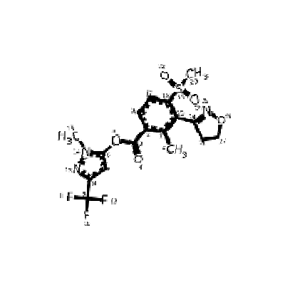 Cc1c(C(=O)Oc2cc(C(F)(F)F)nn2C)ccc(S(C)(=O)=O)c1C1=NOCC1